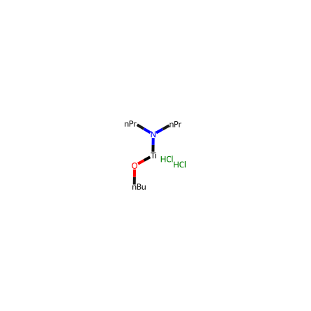 CCCC[O][Ti][N](CCC)CCC.Cl.Cl